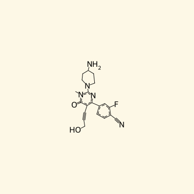 Cn1c(N2CCC(N)CC2)nc(-c2ccc(C#N)c(F)c2)c(C#CCO)c1=O